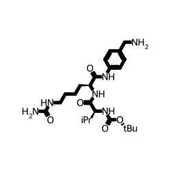 CC(C)[C@H](NC(=O)OC(C)(C)C)C(=O)N[C@@H](CCCCNC(N)=O)C(=O)Nc1ccc(CN)cc1